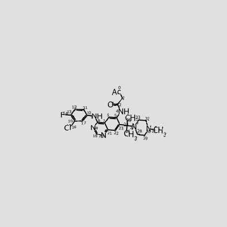 CC(=O)CC(=O)Nc1cc2c(Nc3ccc(F)c(Cl)c3)ncnc2cc1C(C)(C)N1CCN(C)CC1